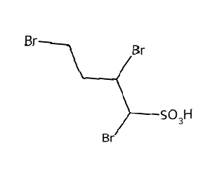 O=S(=O)(O)C(Br)C(Br)CCBr